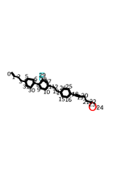 C=CCCc1ccc(-c2ccc(CCc3ccc(C#CCCCOC)cc3)cc2F)cc1